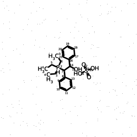 CC[PH](CC)(CC)C(c1ccccc1)C(O)c1ccccc1.O=S(=O)(O)O